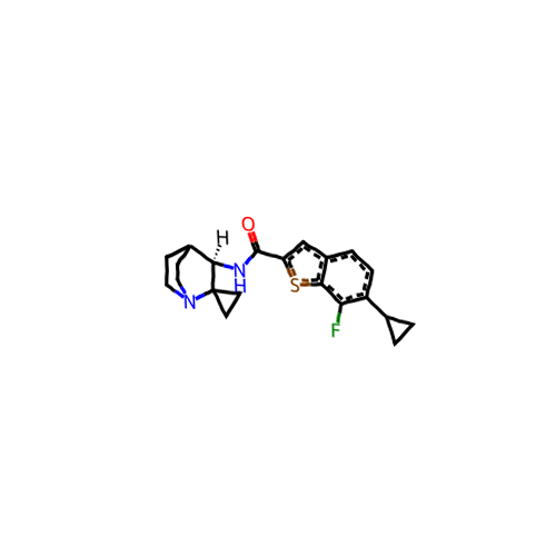 O=C(N[C@@H]1C2CCN(CC2)C12CC2)c1cc2ccc(C3CC3)c(F)c2s1